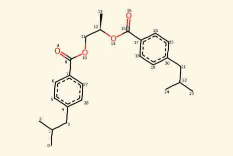 CC(C)Cc1ccc(C(=O)OC[C@@H](C)OC(=O)c2ccc(CC(C)C)cc2)cc1